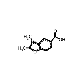 Cc1oc2ccc(C(=O)O)cc2[n+]1C